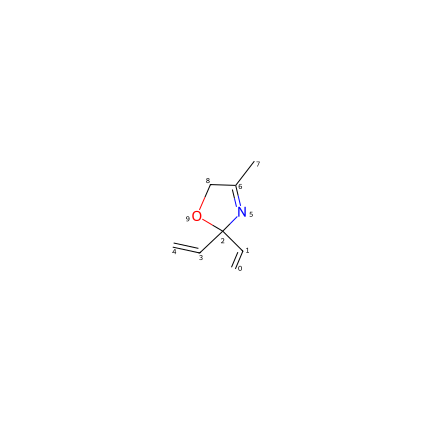 C=CC1(C=C)N=C(C)CO1